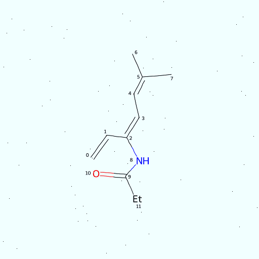 C=C/C(=C\C=C(C)C)NC(=O)CC